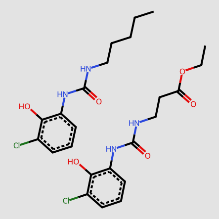 CCCCCNC(=O)Nc1cccc(Cl)c1O.CCOC(=O)CCNC(=O)Nc1cccc(Cl)c1O